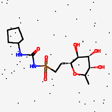 CC1O[C@H](CCS(=O)(=O)NC(=O)NC2CCCC2)[C@@H](O)[C@H](O)[C@@H]1O